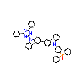 O=P(c1ccccc1)(c1ccccc1)c1ccc(-n2c3ccccc3c3cc(-c4ccc5c(c4)c4ccccc4n5-c4nc(-c5ccccc5)nc(-c5ccccc5)n4)ccc32)cc1